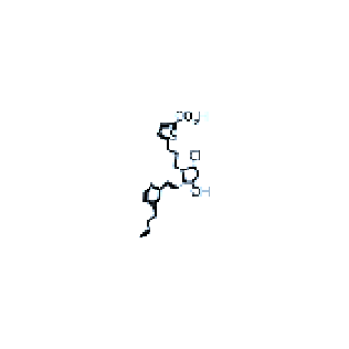 C=CCCc1cccc(C=C[C@@H]2[C@@H](CCCc3ccc(C(=O)O)s3)[C@H](Cl)C[C@H]2O)c1